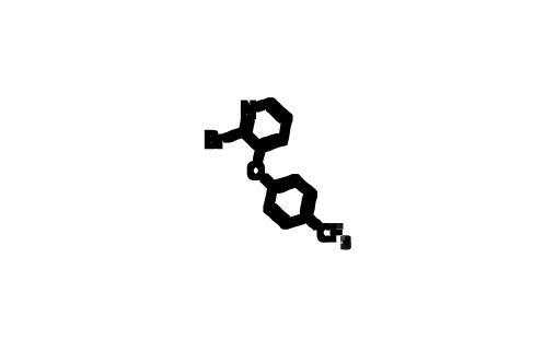 FC(F)(F)c1ccc(Oc2cccnc2Br)cc1